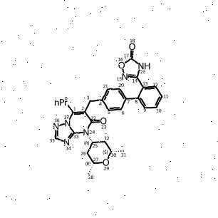 CCCc1c(Cc2ccc(-c3ccccc3-c3noc(=O)[nH]3)cc2)c(=O)n([C@H]2C[C@@H](C)O[C@@H](C)C2)c2ncnn12